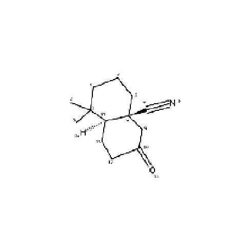 CC1(C)CCC[C@]2(C#N)CC(=O)CC[C@@H]12